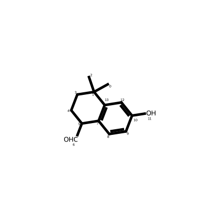 CC1(C)CCC(C=O)c2ccc(O)cc21